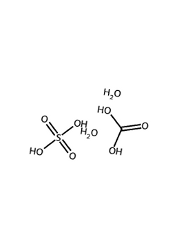 O.O.O=C(O)O.O=S(=O)(O)O